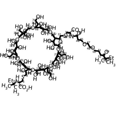 CCC(C)(C)N[C@H](CSCC[C@H]1O[C@H](O)/C(O)=C(\O)[C@@H](CCO)O[C@H](O)/C(O)=C(/O)[C@@H](CCO)O[C@H]2OC(CSC[C@@H](NC(=O)CCOCCOCCCC(=O)C(C)(C)CC)C(=O)O)[C@@H](O[C@@H](O)/C(O)=C(\O)[C@@H](CCO)O[C@H]3OC(CO)[C@@H](O[C@@H](O)/C(O)=C(\O)[C@@H](CCO)O[C@H](O)/C(O)=C/1O)C(O)C3O)C(O)C2O)C(=O)O